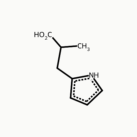 CC(Cc1ccc[nH]1)C(=O)O